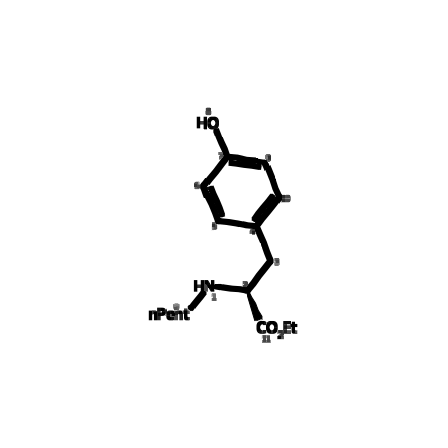 CCCCCN[C@@H](Cc1ccc(O)cc1)C(=O)OCC